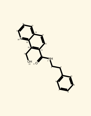 O=C(NCCc1ccccc1)c1ccc2cccnc2c1CO